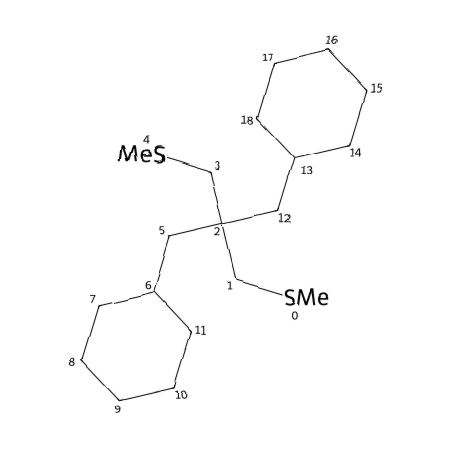 CSCC(CSC)(CC1CCCCC1)CC1CCCCC1